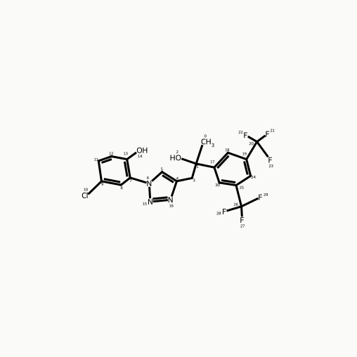 CC(O)(Cc1cn(-c2cc(Cl)ccc2O)nn1)c1cc(C(F)(F)F)cc(C(F)(F)F)c1